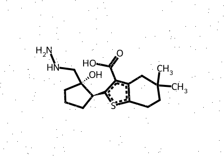 CC1(C)CCc2sc([C@H]3CCC[C@@]3(O)CNN)c(C(=O)O)c2C1